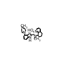 CN1CCN(c2cccc3[nH]c([C@H](CO)N(C)C4CCCc5cccnc54)nc23)CC1